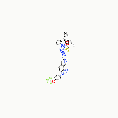 CC(C)c1ccccc1N1C(=O)CSC1=NN=Cc1cc2ccc3c(ncn3-c3ccc(OC(F)(F)F)cc3)c2cn1